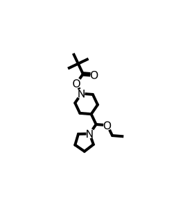 CCOC(C1CCN(OC(=O)C(C)(C)C)CC1)N1CCCC1